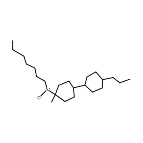 CCCCCCC[S+]([O-])C1(C)CCC(C2CCC(CCC)CC2)CC1